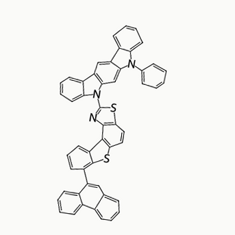 c1ccc(-n2c3ccccc3c3cc4c5ccccc5n(-c5nc6c(ccc7sc8c(-c9cc%10ccccc%10c%10ccccc9%10)cccc8c76)s5)c4cc32)cc1